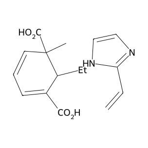 C=Cc1ncc[nH]1.CCC1C(C(=O)O)=CC=CC1(C)C(=O)O